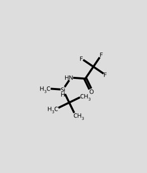 C[SiH](NC(=O)C(F)(F)F)C(C)(C)C